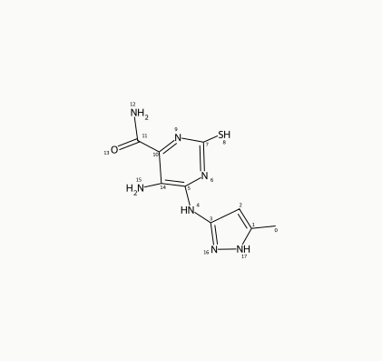 Cc1cc(Nc2nc(S)nc(C(N)=O)c2N)n[nH]1